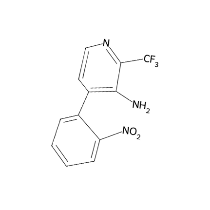 Nc1c(-c2ccccc2[N+](=O)[O-])ccnc1C(F)(F)F